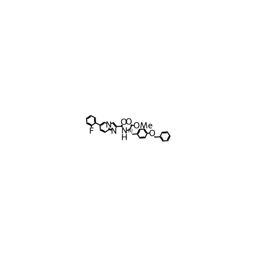 COC(=O)[C@H](Cc1ccc(OCc2ccccc2)cc1)NC(=O)c1cn2cc(-c3ccccc3F)ccc2n1